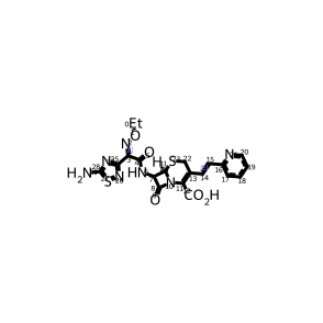 CCO/N=C(\C(=O)NC1C(=O)N2C(C(=O)O)=C(/C=C/c3ccccn3)CS[C@H]12)c1nsc(N)n1